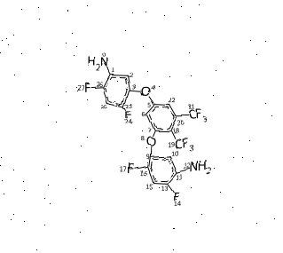 Nc1cc(Oc2cc(Oc3cc(N)c(F)cc3F)c(C(F)(F)F)c(C(F)(F)F)c2)c(F)cc1F